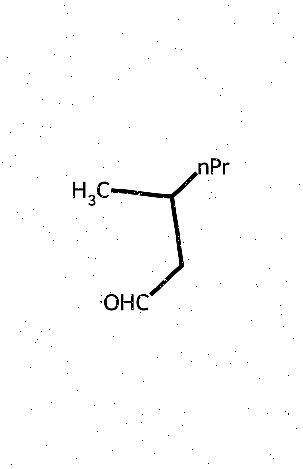 CCCC(C)C[C]=O